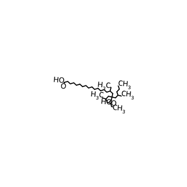 CCCCC(CC)CC(CC(CC)CCCC)(CC(CC)CCCCCCCCCCCCCCC(=O)O)C(=O)O